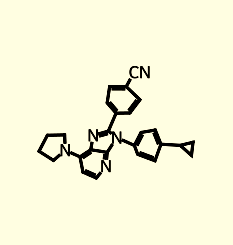 N#Cc1ccc(-c2nc3c(N4CCCC4)ccnc3n2-c2ccc(C3CC3)cc2)cc1